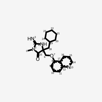 CN1C(=N)NC(COc2cccc3ncccc23)(CC2CCCCC2)C1=O